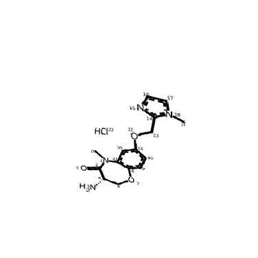 CN1C(=O)[C@@H](N)COc2ccc(OCc3nccn3C)cc21.Cl